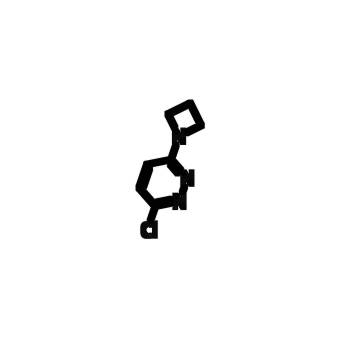 Clc1ccc(N2CCC2)nn1